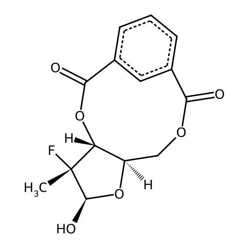 C[C@]1(F)[C@H](O)O[C@@H]2COC(=O)c3cccc(c3)C(=O)O[C@H]21